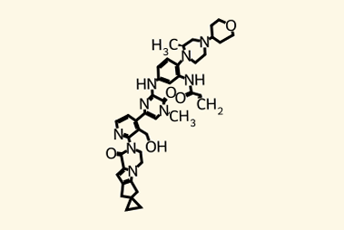 C=CC(=O)Nc1cc(Nc2nc(-c3ccnc(N4CCn5c(cc6c5CC5(CC5)C6)C4=O)c3CO)cn(C)c2=O)ccc1N1CCN(C2CCOCC2)C[C@@H]1C